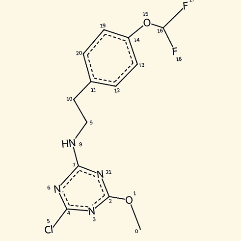 COc1nc(Cl)nc(NCCc2ccc(OC(F)F)cc2)n1